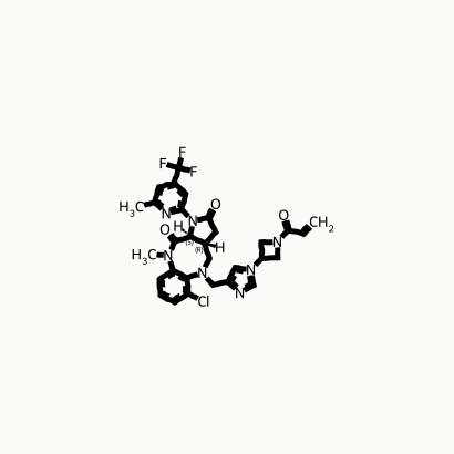 C=CC(=O)N1CC(n2cnc(CN3C[C@H]4CC(=O)N(c5cc(C(F)(F)F)cc(C)n5)[C@@H]4C(=O)N(C)c4cccc(Cl)c43)c2)C1